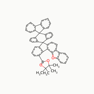 CC1(C)OB(c2cccc3c2-c2c(ccc4c2oc2ccccc24)C32c3ccccc3C3(c4ccccc4-c4ccccc43)c3ccccc32)OC1(C)C